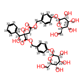 O=C(C[C@](O)(C(=O)OCc1ccc(OC2O[C@H](CO)[C@@H](O)[C@H](O)[C@H]2O)cc1)C(O)c1ccccc1)OCc1ccc(OC2O[C@H](CO)[C@@H](O)[C@H](O)[C@H]2O)cc1